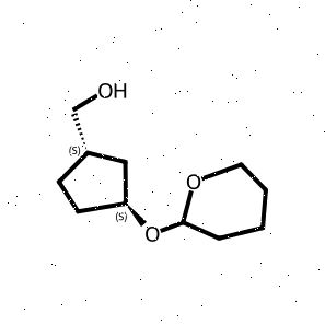 OC[C@H]1CC[C@H](OC2CCCCO2)C1